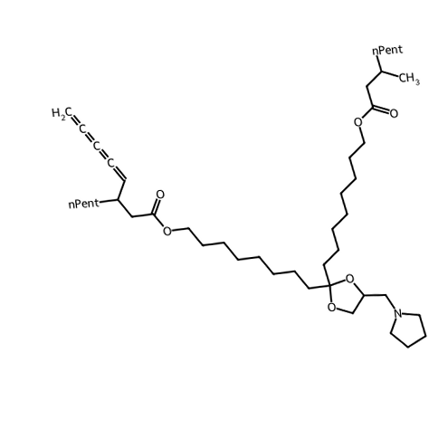 C=C=C=C=CC(CCCCC)CC(=O)OCCCCCCCCC1(CCCCCCCCOC(=O)CC(C)CCCCC)OCC(CN2CCCC2)O1